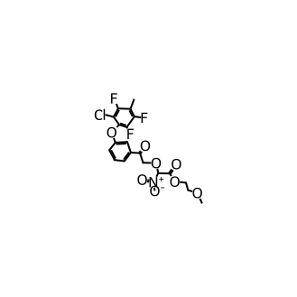 COCCOC(=O)C(OCC(=O)c1cccc(Oc2c(F)c(F)c(C)c(F)c2Cl)c1)[N+](=O)[O-]